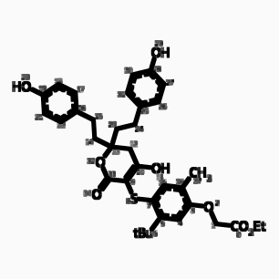 CCOC(=O)COc1cc(C(C)(C)C)c(SC2=C(O)CC(CCc3ccc(O)cc3)(CCc3ccc(O)cc3)OC2=O)cc1C